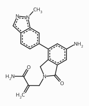 C=C(CN1Cc2c(cc(N)cc2-c2ccc3cnn(C)c3c2)C1=O)C(N)=O